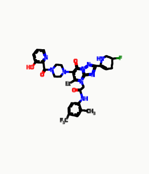 CCc1c(N2CCN(C(=O)c3ncccc3O)CC2)c(=O)n2nc(C3=CCC(F)CN3)nc2n1CC(=O)Nc1ccc(C(F)(F)F)cc1C